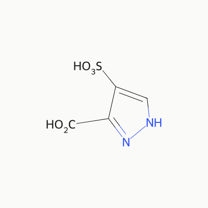 O=C(O)c1n[nH]cc1S(=O)(=O)O